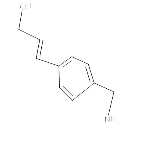 NCc1ccc(C=CCO)cc1